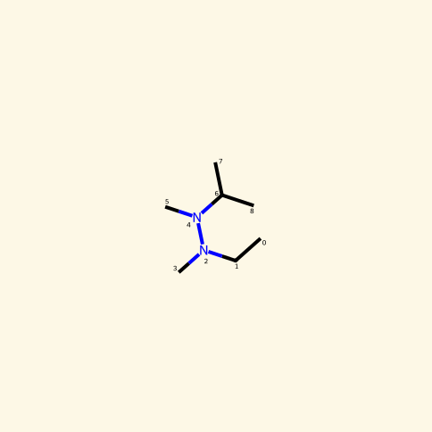 CCN(C)N(C)C(C)C